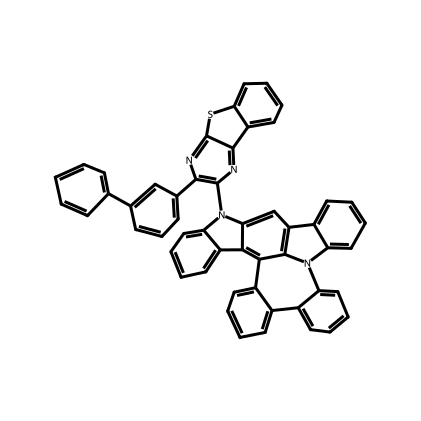 c1ccc(-c2cccc(-c3nc4sc5ccccc5c4nc3-n3c4ccccc4c4c5c6c(cc43)c3ccccc3n6-c3ccccc3-c3ccccc3-5)c2)cc1